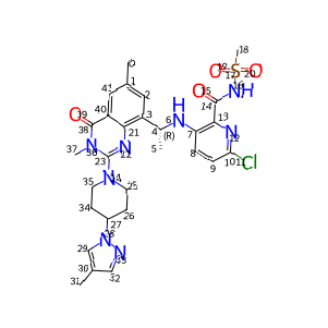 Cc1cc([C@@H](C)Nc2ccc(Cl)nc2C(=O)NS(C)(=O)=O)c2nc(N3CCC(n4cc(C)cn4)CC3)n(C)c(=O)c2c1